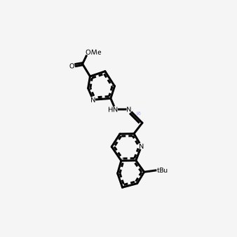 COC(=O)c1ccc(N/N=C\c2ccc3cccc(C(C)(C)C)c3n2)nc1